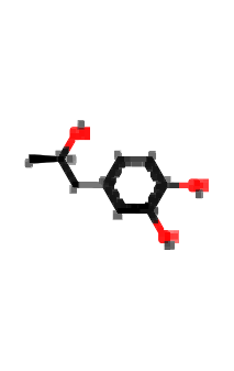 C[C@@H](O)Cc1ccc(O)c(O)c1